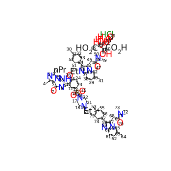 CCCc1nc(C)c2c(=O)nc(-c3cc(S(=O)(=O)N4CCN(CC)CC4)ccc3OCC)[nH]n12.Cc1ccc(-c2nc3ccc(C)cn3c2CC(=O)N(C)C)cc1.Cc1ccc(-c2nc3ccc(C)cn3c2CC(=O)N(C)C)cc1.Cl.O.O.O.O=C(O)C(O)C(O)C(=O)O